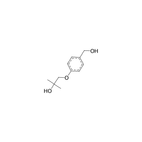 CC(C)(O)COc1ccc(CO)cc1